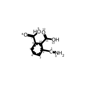 [NH2][Cu][c]1cccc(C(=O)O)c1C(=O)O